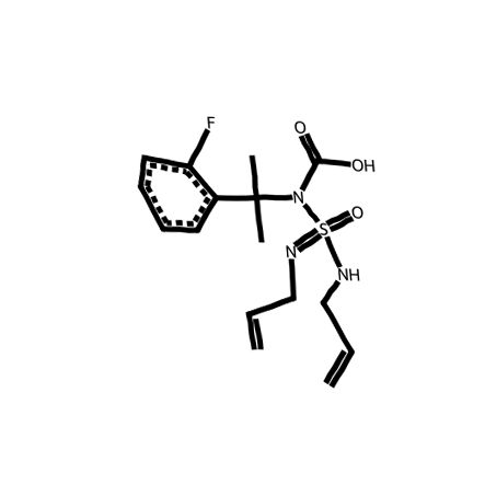 C=CCN=S(=O)(NCC=C)N(C(=O)O)C(C)(C)c1ccccc1F